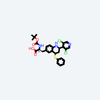 CC(C)(C)OC(=O)N[C@@H](Cc1ccc2c(c1)C(Sc1ccccc1)CC(c1c(Cl)cncc1Cl)N2)C(=O)O